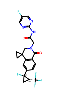 O=C(CN1CC2(CC2)c2cc([C@@]3(F)C[C@H]3C(F)(F)F)ccc2C1=O)Nc1ncc(F)cn1